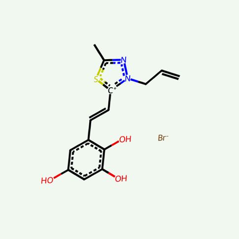 C=CCn1nc(C)s[c+]1C=Cc1cc(O)cc(O)c1O.[Br-]